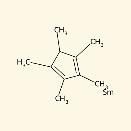 CC1=C(C)C(C)C(C)=C1C.[Sm]